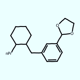 CCCC1CCCCC1Cc1cccc(C2OCCO2)c1